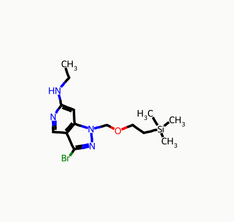 CCNc1cc2c(cn1)c(Br)nn2COCC[Si](C)(C)C